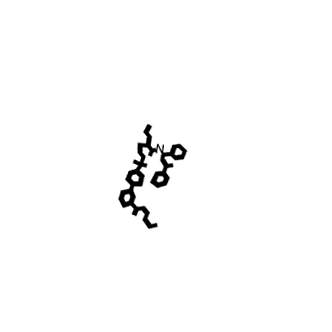 C=C/C=C(\C=C/CC(C)(C)c1ccc(-c2cccc(C(=C)/C=C\C=C/C)c2)cc1)C(C)/N=C(\C=C(/C)c1ccccc1)C1=CCCC=C1